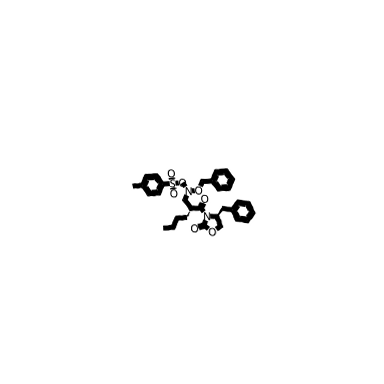 CCCC[C@H](CN(OCc1ccccc1)OS(=O)(=O)c1ccc(C)cc1)C(=O)N1C(=O)OC[C@@H]1Cc1ccccc1